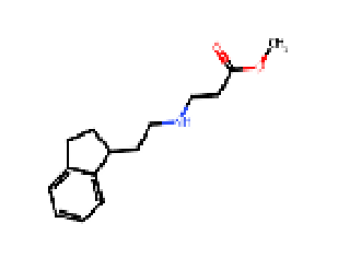 COC(=O)CCNCCC1CCc2ccccc21